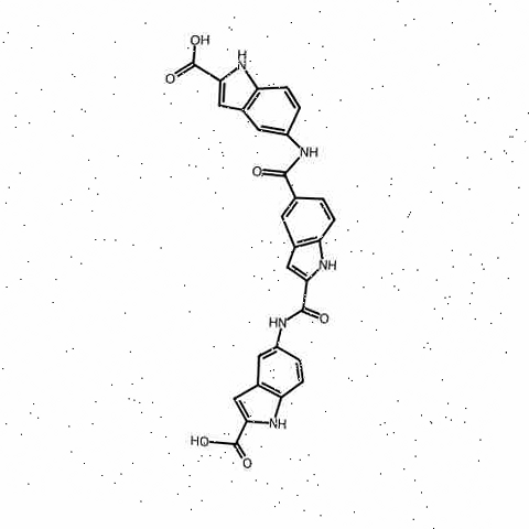 O=C(Nc1ccc2[nH]c(C(=O)O)cc2c1)c1ccc2[nH]c(C(=O)Nc3ccc4[nH]c(C(=O)O)cc4c3)cc2c1